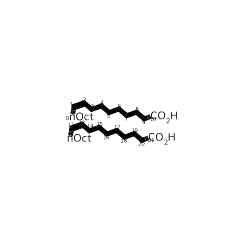 CCCCCCCC/C=C\CCCCCCCC(=O)O.CCCCCCCC/C=C\CCCCCCCC(=O)O